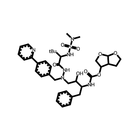 CN(C)S(=O)(=O)NC(C(=O)NN(Cc1ccc(-c2ccccn2)cc1)CC(O)C(Cc1ccccc1)NC(=O)OC1COC2OCCC12)C(C)(C)C